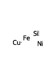 [Cu].[Fe].[Ni].[Si]